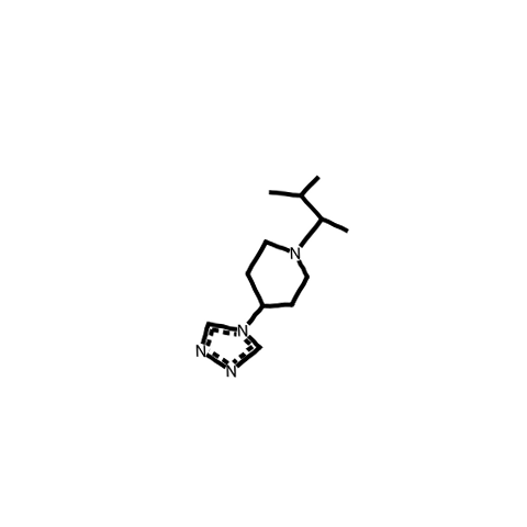 CC(C)C(C)N1CCC(n2cnnc2)CC1